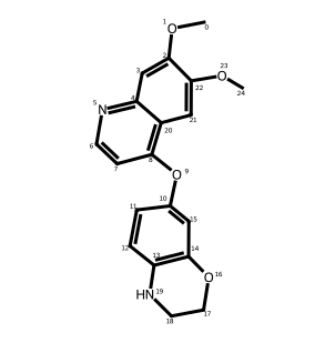 COc1cc2nccc(Oc3ccc4c(c3)OCCN4)c2cc1OC